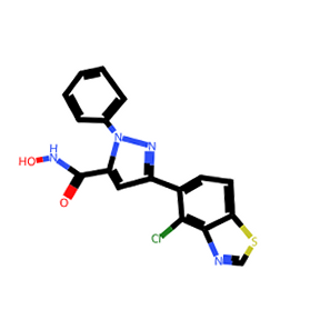 O=C(NO)c1cc(-c2ccc3scnc3c2Cl)nn1-c1ccccc1